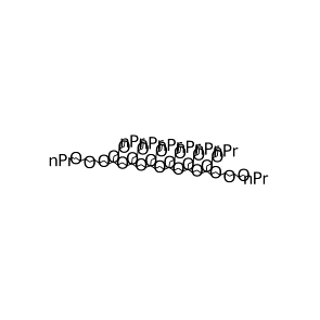 CCCOCCOCCOCC(COCC(COCC(COCC(COCC(COCC(COCCOCCOCCC)OCCOCCC)OCCOCCC)OCCOCCC)OCCOCCC)OCCOCCC)OCCOCCC